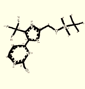 CC(C)(C)[Si](C)(C)OCc1nc(C(F)(F)F)c(-c2ccnc(Cl)n2)s1